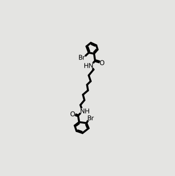 O=C(NCCCCCCCCNC(=O)c1ccccc1Br)c1ccccc1Br